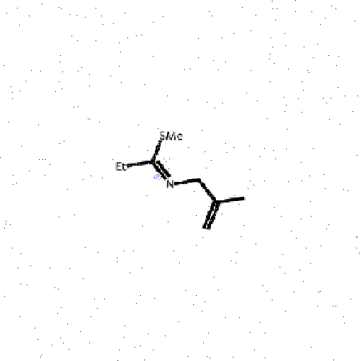 C=C(C)C/N=C(/CC)SC